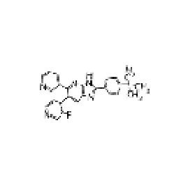 CC(C)(C)c1ccc(-c2nc3cc(-c4ccncc4F)c(-c4cccnc4)nc3[nH]2)cc1